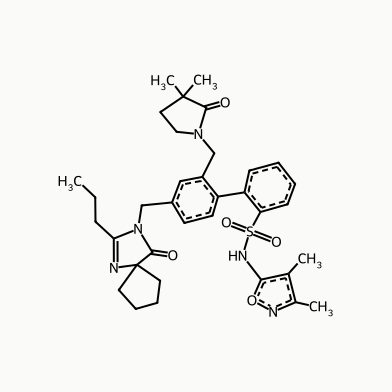 CCCC1=NC2(CCCC2)C(=O)N1Cc1ccc(-c2ccccc2S(=O)(=O)Nc2onc(C)c2C)c(CN2CCC(C)(C)C2=O)c1